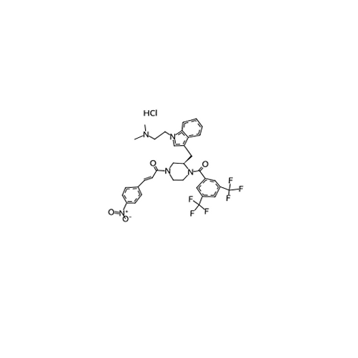 CN(C)CCn1cc(C[C@@H]2CN(C(=O)/C=C/c3ccc([N+](=O)[O-])cc3)CCN2C(=O)c2cc(C(F)(F)F)cc(C(F)(F)F)c2)c2ccccc21.Cl